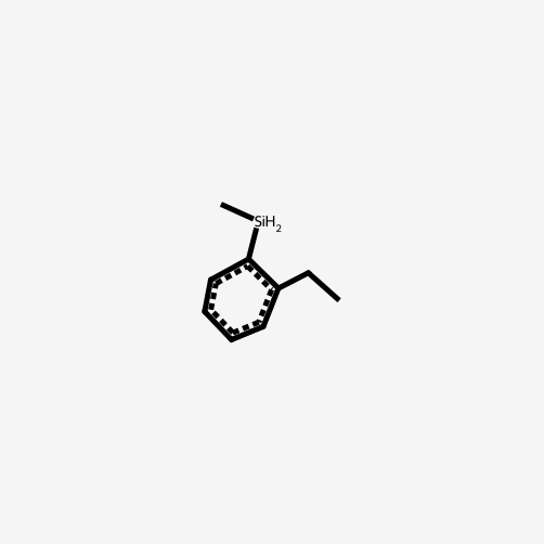 CCc1ccccc1[SiH2]C